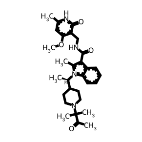 COc1cc(C)[nH]c(=O)c1CNC(=O)c1c(C)n([C@H](C)C2CCN(C(C)(C)C(C)=O)CC2)c2ccccc12